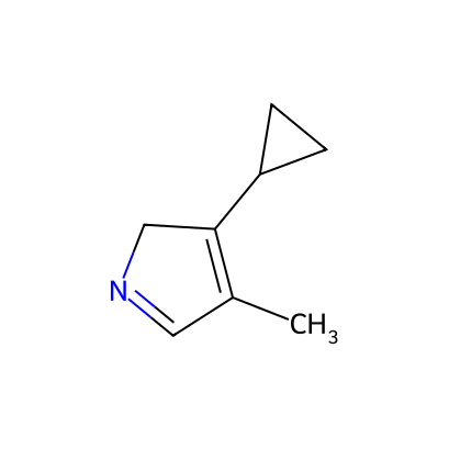 CC1=C(C2CC2)CN=C1